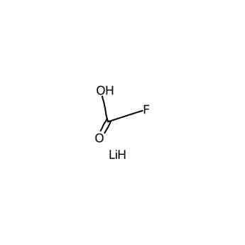 O=C(O)F.[LiH]